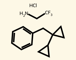 Cl.NCC(F)(F)F.c1ccc(CC2(C3CC3)CC2)cc1